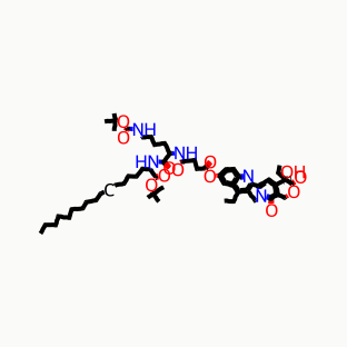 CCCCCCCCCCCCCCCCC(NC(=O)C(CCCCNC(=O)OC(C)(C)C)NC(=O)CCC(=O)Oc1ccc2nc3c(c(CC)c2c1)Cn1c-3cc2c(c1=O)COC(=O)[C@]2(O)CC)C(=O)OC(C)(C)C